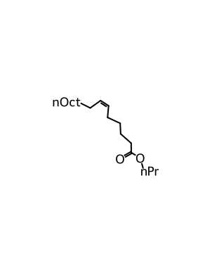 CCCCCCCCC/C=C\CCCCC(=O)OCCC